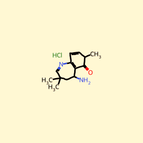 CC1C=CC2=C(C1=O)C(N)CC(C)(C)C=N2.Cl